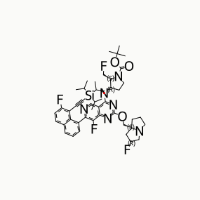 CC(C)[Si](C#Cc1c(F)ccc2cccc(-c3ncc4c(N(C)[C@@H]5CCN(C(=O)OC(C)(C)C)[C@@H]5CF)nc(OC[C@@]56CCCN5C[C@H](F)C6)nc4c3F)c12)(C(C)C)C(C)C